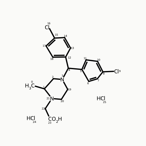 CC1CN(C(c2ccc(Cl)cc2)c2ccc(Cl)cc2)CCN1CC(=O)O.Cl.Cl